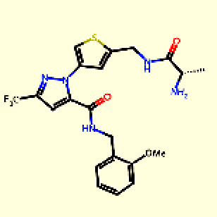 COc1ccccc1CNC(=O)c1cc(C(F)(F)F)nn1-c1csc(CNC(=O)[C@H](C)N)c1